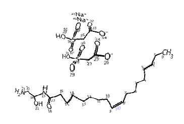 CCCCCCCC/C=C\CCCCCCCC(=O)NC(O)CN.O=C([O-])CS(=O)(=O)O.O=C([O-])CS(=O)(=O)O.[Na+].[Na+]